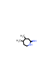 CC1CCNC(=N)CC1C